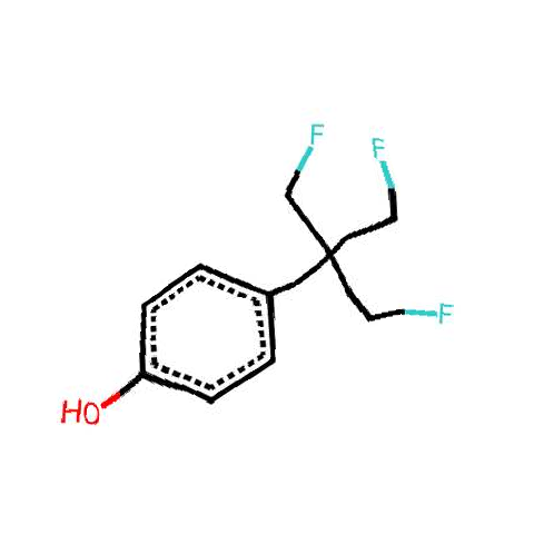 Oc1ccc(C(CF)(CF)CF)cc1